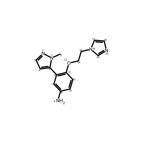 Cn1nccc1-c1cc(N)ccc1OCCn1ccnc1